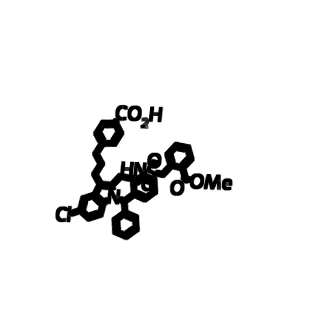 COC(=O)c1ccccc1CS(=O)(=O)NCCc1c(CCCc2ccc(C(=O)O)cc2)c2cc(Cl)ccc2n1C(c1ccccc1)c1ccccc1